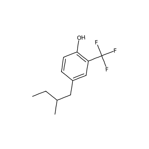 CCC(C)Cc1ccc(O)c(C(F)(F)F)c1